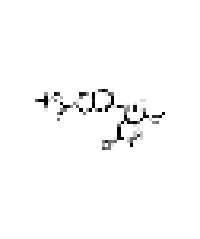 COC(=O)c1nnc(Cl)cc1Nc1ccc2c(c1)CN(C(=O)OC(C)(C)C)C2